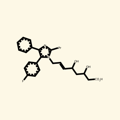 CC(C)c1nc(-c2ccccc2)c(-c2ccc(F)cc2)n1CC=CC(O)CC(O)CC(=O)O